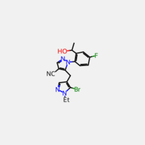 CCn1ncc(Cc2c(C#N)cnn2-c2ccc(F)cc2C(C)O)c1Br